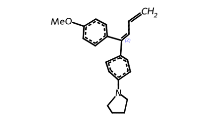 C=C/C=C(\c1ccc(OC)cc1)c1ccc(N2CCCC2)cc1